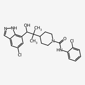 CC(C)(C1CCN(C(=O)Nc2ccccc2Cl)CC1)C(O)c1cc(Cl)cc2cn[nH]c12